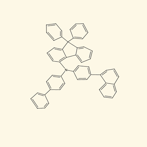 c1ccc(-c2ccc(N(c3ccc(-c4cccc5ccccc45)cc3)c3cccc4c3-c3ccccc3C4(c3ccccc3)c3ccccc3)cc2)cc1